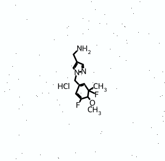 COC1C(F)=CC(Cn2cc(CN)cn2)=CC1(C)F.Cl